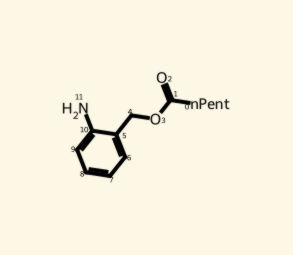 CCCCCC(=O)OCc1ccccc1N